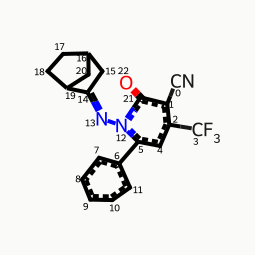 N#Cc1c(C(F)(F)F)cc(-c2ccccc2)n(N=C2CC3CCC2C3)c1=O